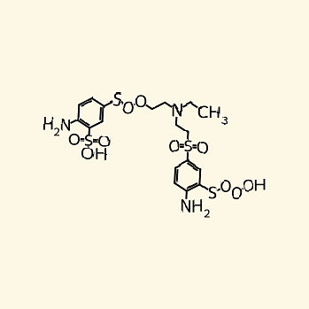 CCN(CCOOSc1ccc(N)c(S(=O)(=O)O)c1)CCS(=O)(=O)c1ccc(N)c(SOOO)c1